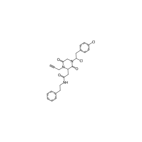 C#CCN1C(=O)CN(C(Cl)Cc2ccc(Cl)cc2)C(=O)C1CC(=O)NCCc1ccccc1